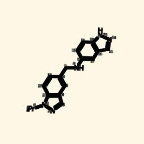 CC(C)n1ncc2cc(CNc3ccc4[nH]ncc4c3)ccc21